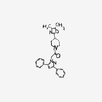 Cc1nc(C2CCN(C(=O)Cn3nc(-c4ccccc4)cc3-c3ccccc3)CC2)oc1C